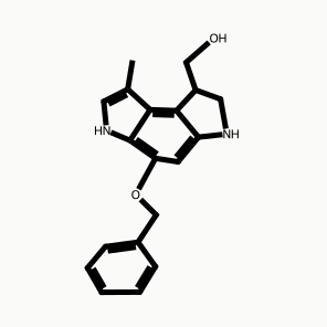 Cc1c[nH]c2c(OCc3ccccc3)cc3c(c12)C(CO)CN3